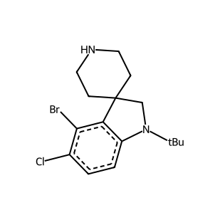 CC(C)(C)N1CC2(CCNCC2)c2c1ccc(Cl)c2Br